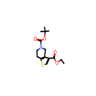 CCOC(=O)c1csc2c1CN(C(=O)OC(C)(C)C)CC2